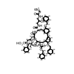 CC(C)(C)OC(=O)NCC(O)CNC(=O)[C@@H]1Cc2cc(ccc2OCc2ccccc2)-c2ccc(OCc3ccccc3)c(c2)C[C@H](NC(=O)OCc2ccccc2)C(=O)N[C@@H](C[C@H](CN(Cc2ccccc2)C(=O)O)O[Si](C)(C)C(C)(C)C)C(=O)N1